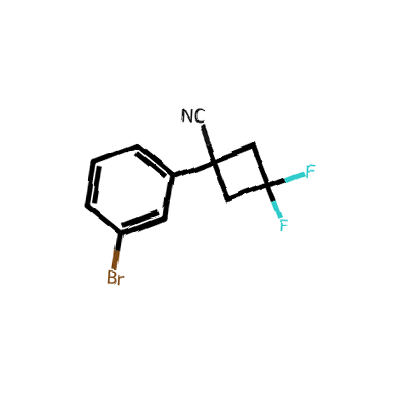 N#CC1(c2cccc(Br)c2)CC(F)(F)C1